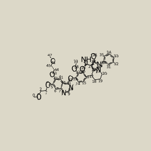 COCCOc1cc2ncnc(Oc3ccc(C4CCCn5c4c(C(N)=O)c(=O)n5-c4ccccc4)cc3OC)c2cc1OCCOC